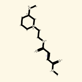 COC(=O)/C=C/C(=O)OCCN1CCCC(OC)C1